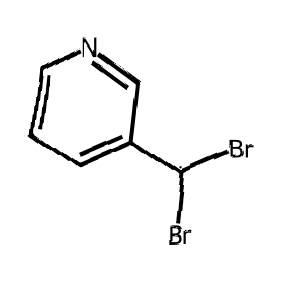 Br[C](Br)c1cccnc1